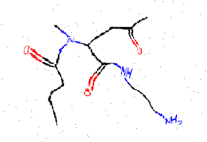 CCCC(=O)N(C)C(CC(C)=O)C(=O)NCCN